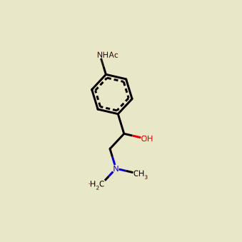 [CH2]N(C)CC(O)c1ccc(NC(C)=O)cc1